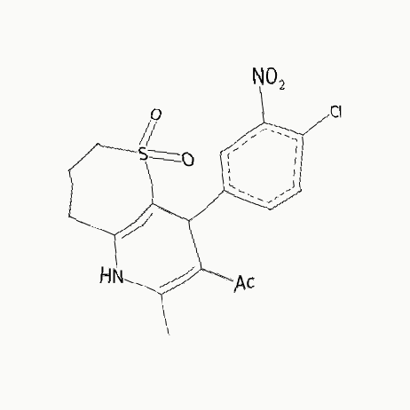 CC(=O)C1=C(C)NC2=C(C1c1ccc(Cl)c([N+](=O)[O-])c1)S(=O)(=O)CCC2